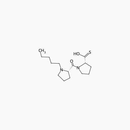 CCCCCN1CCC[C@H]1C(=O)N1CCC[C@H]1C(O)=S